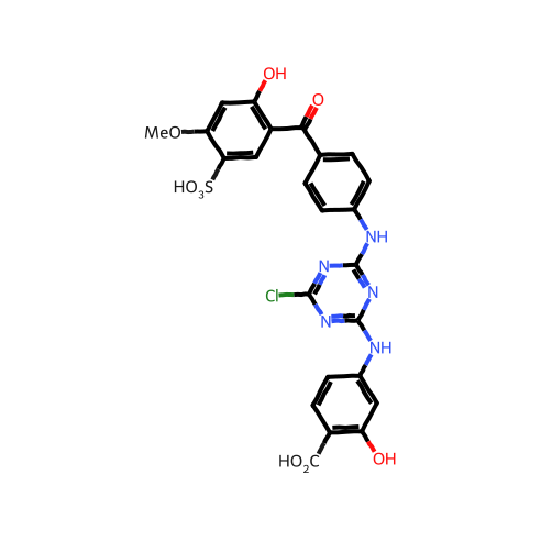 COc1cc(O)c(C(=O)c2ccc(Nc3nc(Cl)nc(Nc4ccc(C(=O)O)c(O)c4)n3)cc2)cc1S(=O)(=O)O